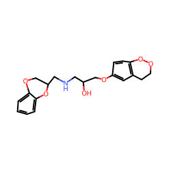 OC(CNCC1COc2ccccc2O1)COc1ccc2c(c1)CCOO2